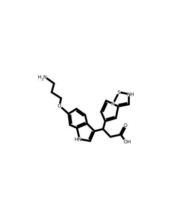 NCCCOc1ccc2c(C(CC(=O)O)C3=CC4=CNSN4C=C3)c[nH]c2c1